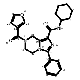 O=C(NC1CCCCC1)c1nc(-c2ccccc2)n2c1CN(C(=O)c1ccoc1)CC2